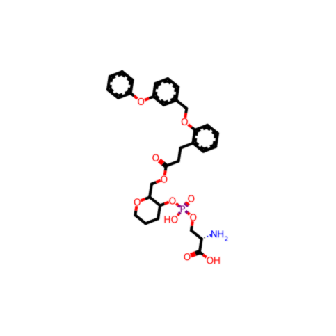 N[C@@H](COP(=O)(O)OC1CCCOC1COC(=O)CCc1ccccc1OCc1cccc(Oc2ccccc2)c1)C(=O)O